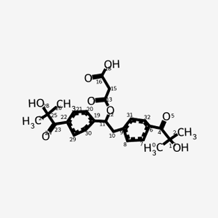 CC(C)(O)C(=O)c1ccc(CC(OC(=O)CC(=O)O)c2ccc(C(=O)C(C)(C)O)cc2)cc1